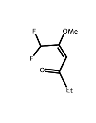 CCC(=O)C=C(OC)C(F)F